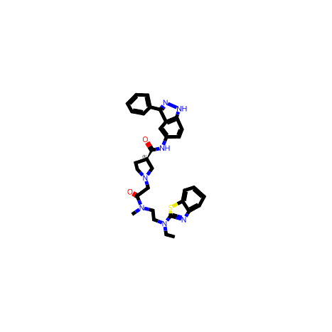 CCN(CCN(C)C(=O)CN1CC[C@@H](C(=O)Nc2ccc3[nH]nc(-c4ccccc4)c3c2)C1)c1nc2ccccc2s1